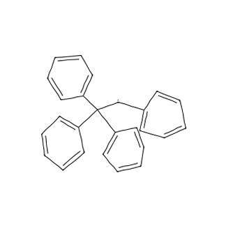 [CH](c1ccccc1)C(c1ccccc1)(c1ccccc1)c1ccccc1